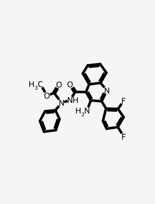 COC(=O)N(NC(=O)c1c(N)c(-c2ccc(F)cc2F)nc2ccccc12)c1ccccc1